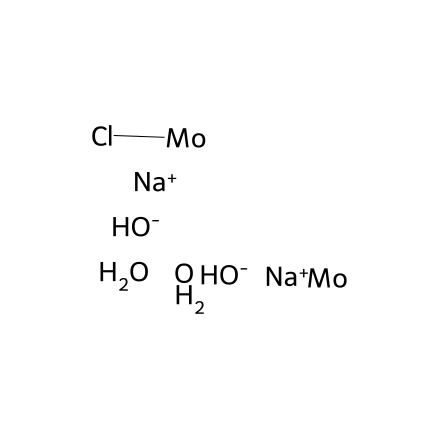 O.O.[Cl][Mo].[Mo].[Na+].[Na+].[OH-].[OH-]